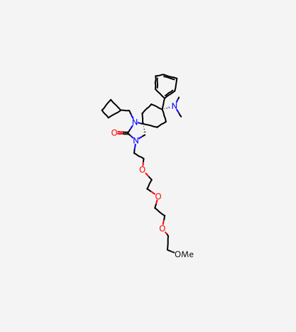 COCCOCCOCCOCCN1C[C@]2(CC[C@@](c3ccccc3)(N(C)C)CC2)N(CC2CCC2)C1=O